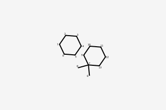 C1CCCCC1.CC1(C)CCCCC1